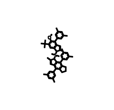 COc1c(C(C)(C)C)cc2c(c1-c1cc(C)cc(C)c1)C=C(C)C2S(C)(C)C1C(C)=Cc2c(-c3cc(C)cc(C)c3)c3c(c(-c4cc(C)cc(C)c4)c21)CCC3